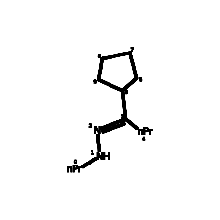 CCCN/N=C(\CCC)C1CCCC1